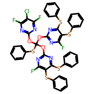 Fc1nc(OC(Oc2nc(F)c(Sc3ccccc3)c(Sc3ccccc3)n2)(Oc2nc(F)c(Sc3ccccc3)c(Sc3ccccc3)n2)Sc2ccccc2)nc(F)c1Cl